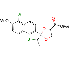 COC(=O)[C@H]1COC(c2ccc3c(Br)c(OC)ccc3c2)(C(C)Br)O1